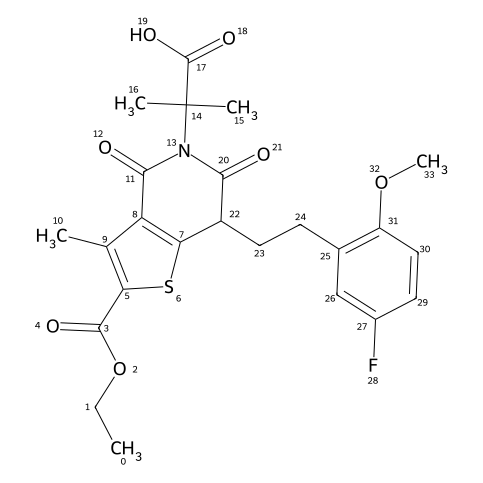 CCOC(=O)c1sc2c(c1C)C(=O)N(C(C)(C)C(=O)O)C(=O)C2CCc1cc(F)ccc1OC